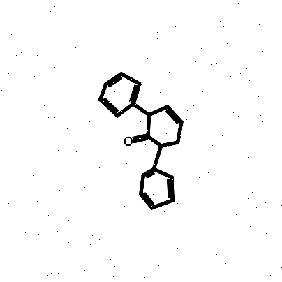 O=C1C(c2ccccc2)C=CCC1c1ccccc1